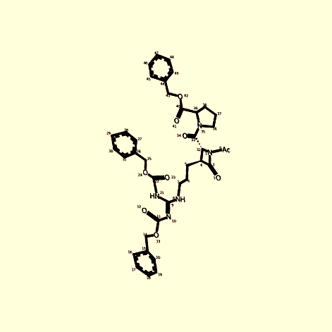 CC(=O)N1C(=O)[C@@H](CCCNC(=NC(=O)OCc2ccccc2)NC(=O)OCc2ccccc2)[C@@H]1C(=O)N1CCCC1C(=O)OCc1ccccc1